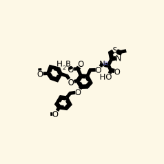 BOC(=O)c1c(CO/N=C(\C(=O)O)c2csc(C)n2)ccc(OCc2ccc(OC)cc2)c1OCc1ccc(OC)cc1